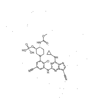 COC(=O)N[C@@H]1CCN(c2cc(C#N)cc(Nc3nc(NC4CC4)c4ncc(C#N)n4n3)c2Cl)C[C@H]1OP(=O)(O)O